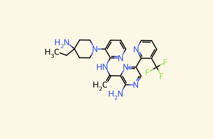 C=C(Nc1ncccc1N1CCC(N)(CC)CC1)c1nc(-c2ncccc2C(F)(F)F)cnc1N